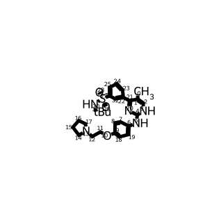 CC1=CNC(Nc2ccc(OCCN3CCCC3)cc2)N=C1c1cccc(S(=O)(=O)NC(C)(C)C)c1